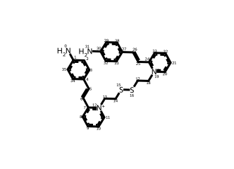 Nc1ccc(/C=C/c2cccc[n+]2CCSSCC[n+]2ccccc2/C=C/c2ccc(N)cc2)cc1